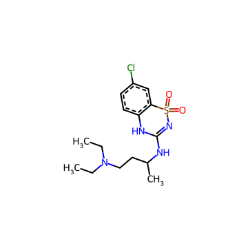 CCN(CC)CCC(C)NC1=NS(=O)(=O)c2cc(Cl)ccc2N1